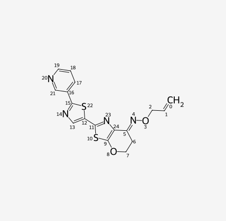 C=CCO/N=C1\CCOc2sc(-c3cnc(-c4cccnc4)s3)nc21